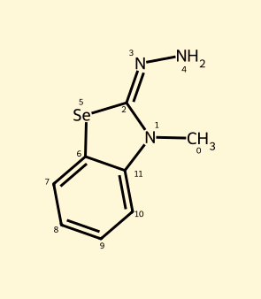 Cn1c(=NN)[se]c2ccccc21